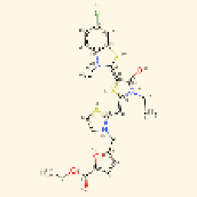 CCOC(=O)c1ccc(C[n+]2ccsc2/C=c2\s/c(=C3/Sc4cc(Cl)ccc4N3C)c(=O)n2CC)o1